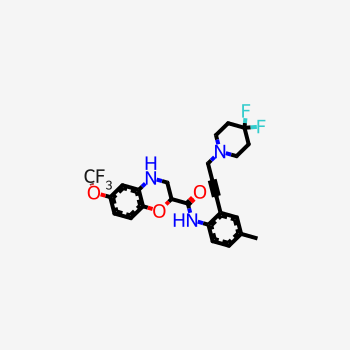 Cc1ccc(NC(=O)C2CNc3cc(OC(F)(F)F)ccc3O2)c(C#CCN2CCC(F)(F)CC2)c1